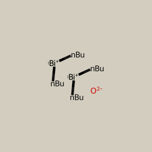 CCC[CH2][Bi+][CH2]CCC.CCC[CH2][Bi+][CH2]CCC.[O-2]